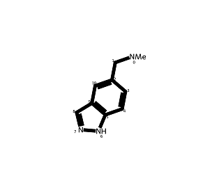 CNCc1ccc2[nH]ncc2c1